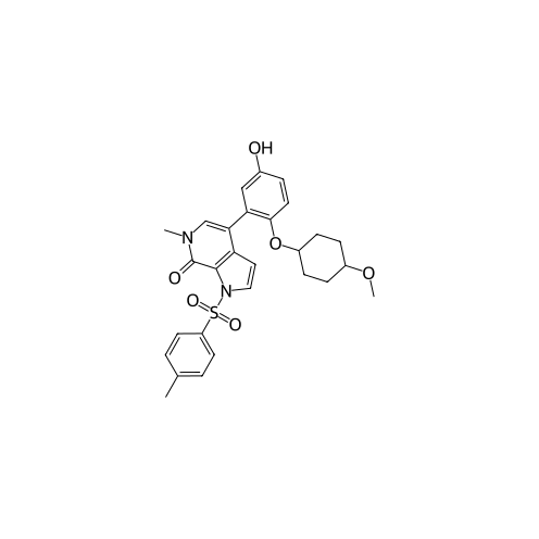 COC1CCC(Oc2ccc(O)cc2-c2cn(C)c(=O)c3c2ccn3S(=O)(=O)c2ccc(C)cc2)CC1